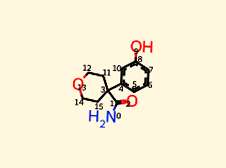 NC(=O)C1(c2cccc(O)c2)CCOCC1